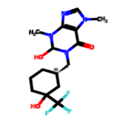 CN1c2ncn(C)c2C(=O)N(C[C@H]2CCCC(O)(C(F)(F)F)C2)C1O